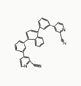 N#Cc1cc(-c2cccc(-c3ccc(-c4cccc(-c5ccnc(C#N)c5)c4)c4ccccc34)c2)ccn1